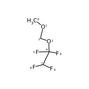 COCOC(F)(F)C(F)F